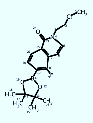 COCCn1ccc2c(F)c(B3OC(C)(C)C(C)(C)O3)ccc2c1=O